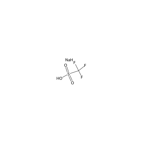 O=S(=O)(O)C(F)(F)F.[NaH]